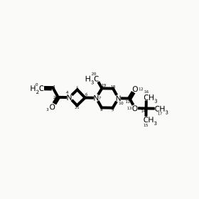 C=CC(=O)N1CC(N2CCN(C(=O)OC(C)(C)C)CC2C)C1